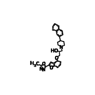 Cc1nnc(-c2cc3c(OCC(O)CN4CCC(c5ccc6ccccc6c5)CC4)cccc3o2)o1